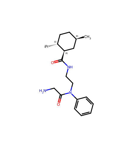 CC(C)[C@@H]1CC[C@@H](C)C[C@H]1C(=O)NCCN(C(=O)CN)c1ccccc1